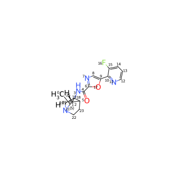 C[C@H]1[C@H](NC(=O)c2ncc(-c3ncccc3F)o2)C2CCN1CC2